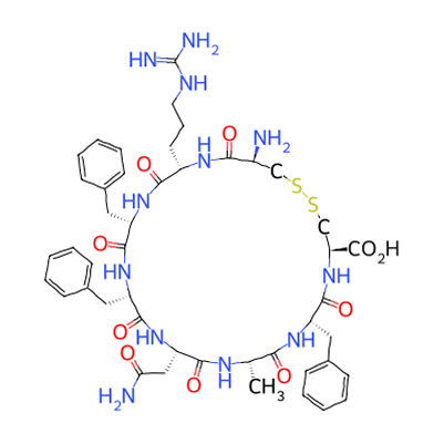 C[C@@H]1NC(=O)[C@H](CC(N)=O)NC(=O)[C@H](Cc2ccccc2)NC(=O)[C@H](Cc2ccccc2)NC(=O)[C@H](CCCNC(=N)N)NC(=O)[C@@H](N)CSSC[C@@H](C(=O)O)NC(=O)[C@H](Cc2ccccc2)NC1=O